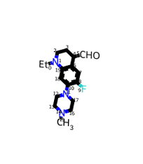 CCN1CCC(C=O)c2cc(F)c(N3CCN(C)CC3)cc21